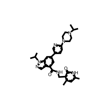 Cc1cc(C)c(CNC(=O)c2cc(-c3ccc(N4CCN(C(C)C)CC4)nc3)cc3c2cnn3C(C)C)c(=O)[nH]1